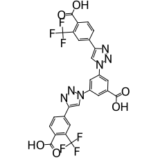 O=C(O)c1cc(-n2cc(-c3ccc(C(=O)O)c(C(F)(F)F)c3)nn2)cc(-n2cc(-c3ccc(C(=O)O)c(C(F)(F)F)c3)nn2)c1